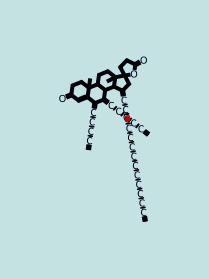 C=C=C=C=C=C=C=C=C=C=C=C=C=C=C1CC2(CCC(=O)O2)C2(C)CCC3C(C(=C=C=C=C=C=C)C(=C=C=C=C=C)C4=CC(=O)CCC43C)C12